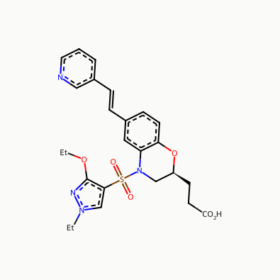 CCOc1nn(CC)cc1S(=O)(=O)N1C[C@H](CCC(=O)O)Oc2ccc(/C=C/c3cccnc3)cc21